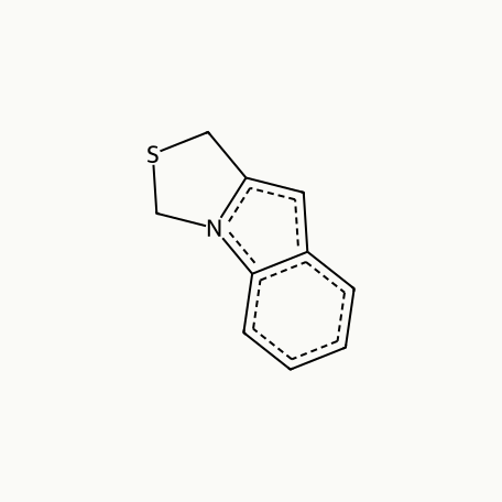 c1ccc2c(c1)cc1n2CSC1